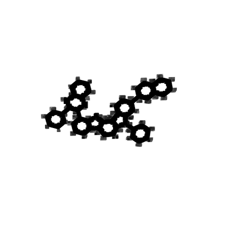 c1ccc(-c2nc3ccccc3nc2-c2cccc3c2sc2c3ccc3c2c2ccc(-c4ccc5ccccc5c4)cc2n3-c2ccccc2)cc1